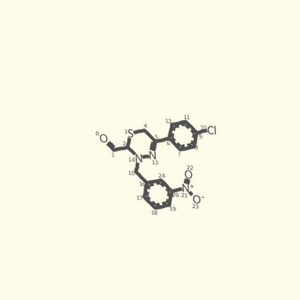 O=CC1SCC(c2ccc(Cl)cc2)=NN1Cc1cccc([N+](=O)[O-])c1